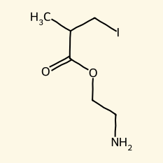 CC(CI)C(=O)OCCN